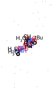 CN(C)C(=O)[C@@H](NC(=O)CNC(=O)C(=O)C(CC1CC1)NC(=O)[C@@H]1[C@H]2CC(C)(C)O[C@H]2CN1C(=O)[C@@H](NC(=O)OC(C)(C)C)C1(C)CCCCC1)c1ccccc1